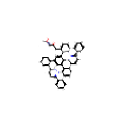 C/C(O)=C/C(=O)Cc1ccccc1-c1cc(-c2ccccc2-c2ccc(-c3ccccc3)nc2)cc(-c2ccccc2-c2ccc(-c3ccccc3)nc2)c1